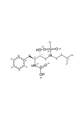 CC(C)CCN(C[C@@H](O)[C@H](Cc1ccccc1)NC(=O)O)S(C)(=O)=O